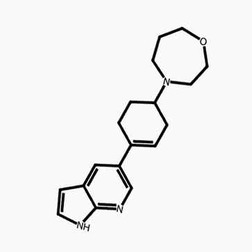 C1=C(c2cnc3[nH]ccc3c2)CCC(N2CCCOCC2)C1